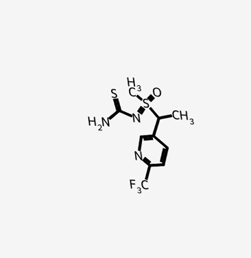 CC(c1ccc(C(F)(F)F)nc1)S(C)(=O)=NC(N)=S